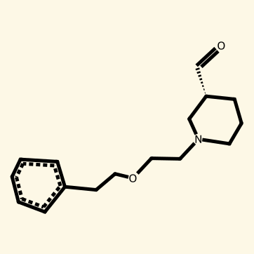 O=C[C@@H]1CCCN(CCOCCc2ccccc2)C1